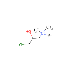 [CH2]C[N+](C)(C)CC(O)CCl